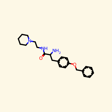 NC(Cc1ccc(OCc2ccccc2)cc1)C(=O)NCCN1CCCCC1